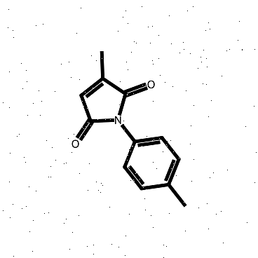 CC1=CC(=O)N(c2ccc(C)cc2)C1=O